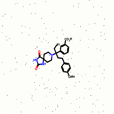 COc1ccc(CCC(CC(C)C)(c2cccc(C(=O)O)c2)N2CCC3(CC2)NC(=O)NC3=O)cc1